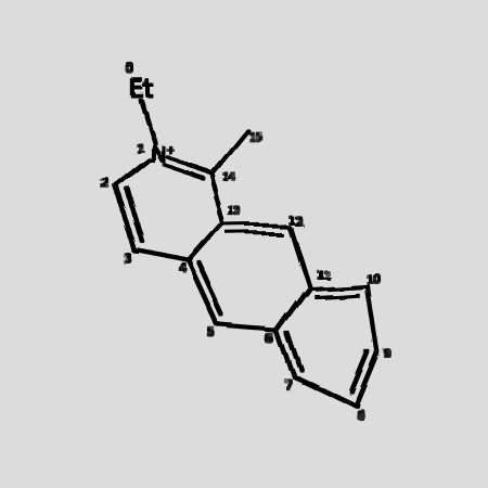 CC[n+]1ccc2cc3ccccc3cc2c1C